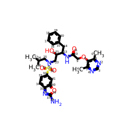 Cc1ncnc(C)c1OCC(=O)NC(Cc1ccccc1)C(O)CN(CC(C)C)S(=O)(=O)c1ccc2nc(N)oc2c1